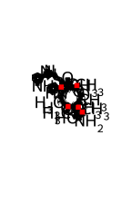 CC[C@H]1OC(=O)[C@H](C)C(=O)[C@H](C)[C@@H](O[C@@H]2O[C@H](C)CC(N)C2O)[C@](C)(OC)C[C@@H](C)CN[C@H](Cc2ccccc2)[C@H]2N(CCCCn3cc(-c4cccc(N)c4)nn3)C(=O)O[C@]12C